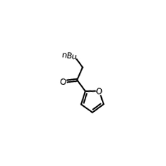 CCCCCC(=O)c1ccco1